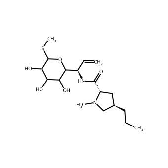 C=C[C@@H](NC(=O)[C@@H]1C[C@@H](CCC)CN1C)C1OC(SC)C(O)C(O)C1O